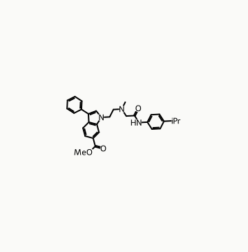 COC(=O)c1ccc2c(-c3ccccc3)cn(CCN(C)CC(=O)Nc3ccc(C(C)C)cc3)c2c1